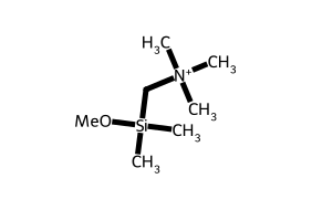 CO[Si](C)(C)C[N+](C)(C)C